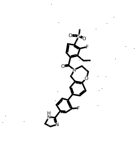 CCc1c(C(=O)N2CCOc3ccc(-c4ccc(C5=NCCN5)cc4F)cc3C2)ccc(S(C)(=O)=O)c1F